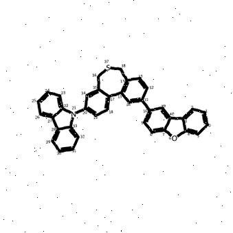 c1ccc2c(c1)oc1ccc(-c3ccc4c(c3)-c3ccc(-n5c6ccccc6c6ccccc65)cc3CSC4)cc12